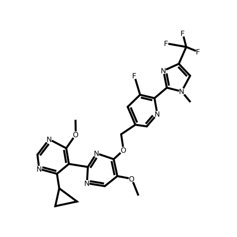 COc1cnc(-c2c(OC)ncnc2C2CC2)nc1OCc1cnc(-c2nc(C(F)(F)F)cn2C)c(F)c1